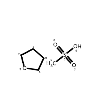 C1CCOC1.CS(=O)(=O)O